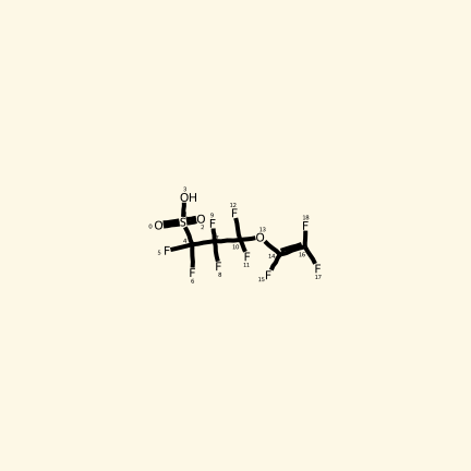 O=S(=O)(O)C(F)(F)C(F)(F)C(F)(F)OC(F)=C(F)F